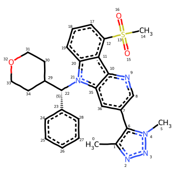 Cc1nnn(C)c1-c1cnc2c3c(S(C)(=O)=O)cccc3n([C@H](c3ccccc3)C3CCOCC3)c2c1